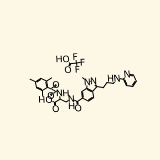 Cc1cc(C)c(S(=O)(=O)NC(CNC(=O)c2ccc3c(CCCNc4ccccn4)nn(C)c3c2)C(=O)O)c(C)c1.O=C(O)C(F)(F)F